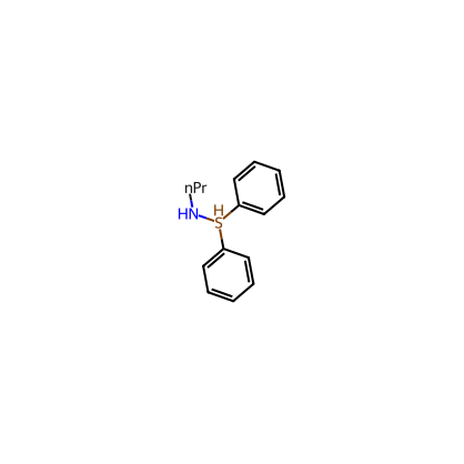 CCCN[SH](c1ccccc1)c1ccccc1